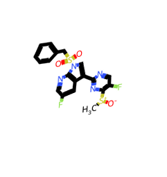 C[S+]([O-])c1nc(-c2cn(S(=O)(=O)Cc3ccccc3)c3ncc(F)cc23)ncc1F